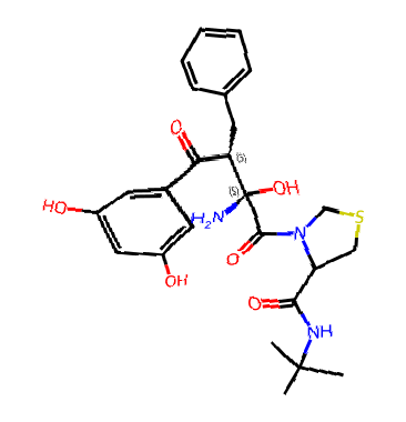 CC(C)(C)NC(=O)C1CSCN1C(=O)[C@@](N)(O)[C@H](Cc1ccccc1)C(=O)c1cc(O)cc(O)c1